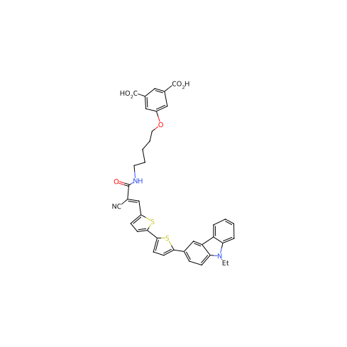 CCn1c2ccccc2c2cc(-c3ccc(-c4ccc(/C=C(\C#N)C(=O)NCCCCCOc5cc(C(=O)O)cc(C(=O)O)c5)s4)s3)ccc21